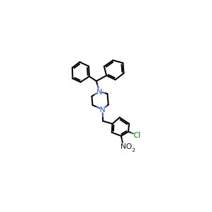 O=[N+]([O-])c1cc(CN2CCN(C(c3ccccc3)c3ccccc3)CC2)ccc1Cl